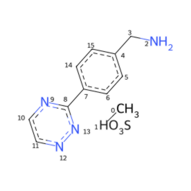 CS(=O)(=O)O.NCc1ccc(-c2nccnn2)cc1